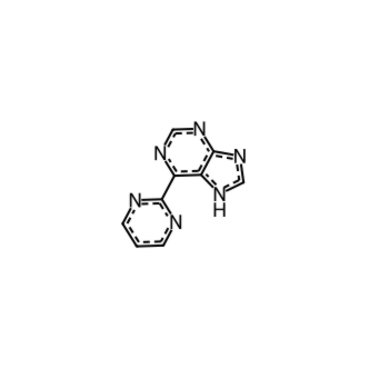 c1cnc(-c2ncnc3nc[nH]c23)nc1